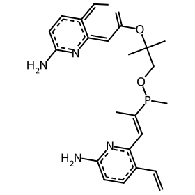 C=Cc1ccc(N)nc1/C=C(\C)P(C)OCC(C)(C)OC(=C)/C=c1/nc(N)cc/c1=C/C